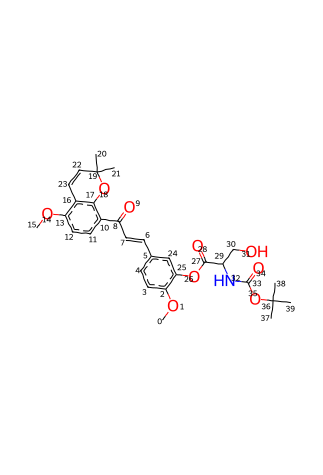 COc1ccc(C=CC(=O)c2ccc(OC)c3c2OC(C)(C)C=C3)cc1OC(=O)C(CO)NC(=O)OC(C)(C)C